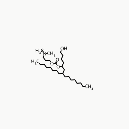 CCCCCCCCC(CCCCCCCC)CC(CCCCO)OC(=O)OCCCN(C)C